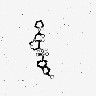 O=C(CN1CCC[C@H](NS(=O)(=O)c2ccc3sc(Cl)cc3c2)C1=O)N1CCCC1